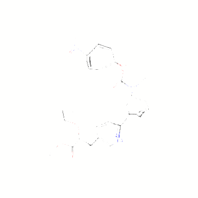 CCO[C@@H](Cc1ccc(-c2cccc(N(C)C(=O)Oc3ccc([N+](=O)[O-])cc3)c2)nc1)C(=O)OC